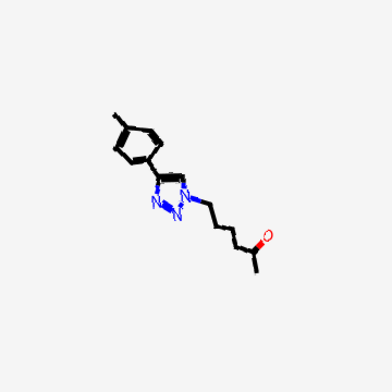 CC(=O)CCCCn1cc(-c2ccc(C)cc2)nn1